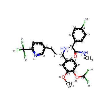 CNC(=O)[C@H](N[C@@H](CCc1ccc(C(F)(F)F)nc1)c1ccc(OC(F)F)c(OC)c1)c1ccc(F)cc1